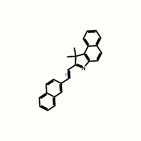 CC1(C)C(/C=C/c2ccc3ccccc3c2)=Nc2ccc3ccccc3c21